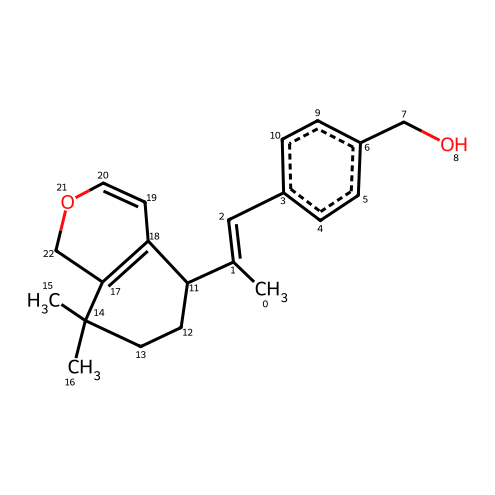 CC(=Cc1ccc(CO)cc1)C1CCC(C)(C)C2=C1C=COC2